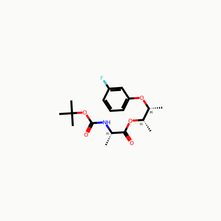 C[C@H](NC(=O)OC(C)(C)C)C(=O)O[C@@H](C)[C@@H](C)Oc1cccc(F)c1